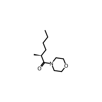 CCCC[C@H](C)C(=O)N1CCOCC1